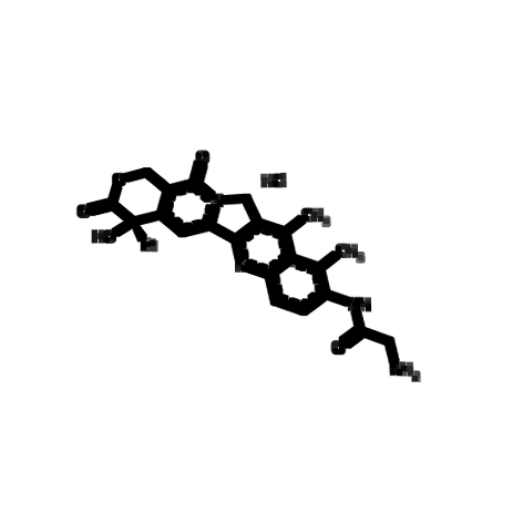 CC[C@@]1(O)C(=O)OCc2c1cc1n(c2=O)Cc2c-1nc1ccc(NC(=O)CN)c(C)c1c2C.Cl